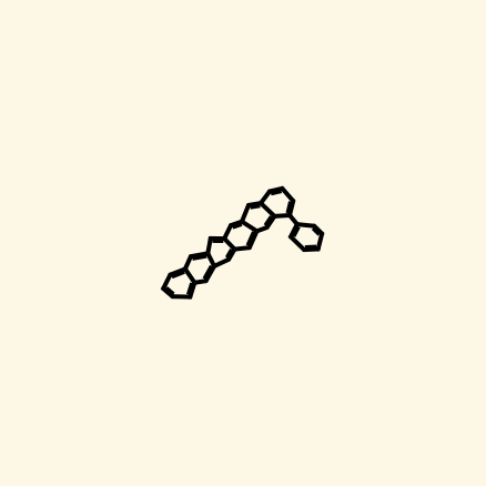 c1ccc(-c2cccc3cc4cc5cc6cc7ccccc7cc6cc5cc4cc23)cc1